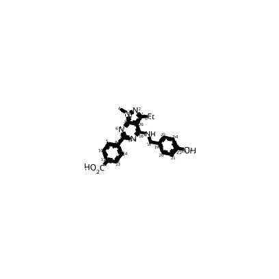 CCc1nn(C)c2nc(-c3ccc(C(=O)O)cc3)nc(NCc3ccc(O)cc3)c12